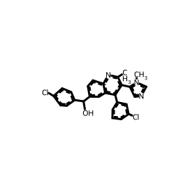 Cc1nc2ccc(C(O)c3ccc(Cl)cc3)cc2c(-c2cccc(Cl)c2)c1-c1cncn1C